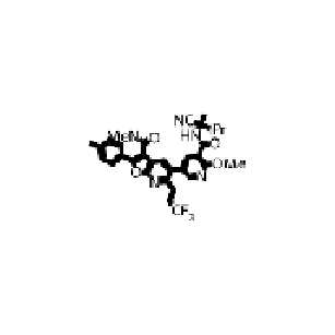 CNC(=O)c1c(-c2ccc(C)cc2)oc2nc(CCC(F)(F)F)c(-c3cnc(OC)c(C(=O)NC(C)(C#N)C(C)C)c3)cc12